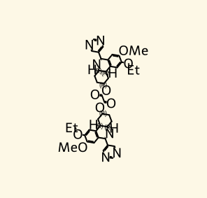 CCOc1cc2c(cc1OC)C(c1cncnc1)=N[C@@H]1CC[C@@H](OC(=O)C(=O)O[C@@H]3CC[C@H]4N=C(c5cncnc5)c5cc(OC)c(OCC)cc5[C@H]4C3)C[C@H]21